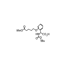 COC(=O)CCCCOc1ccccc1C(NC(=O)OC(C)(C)C)C(=O)O